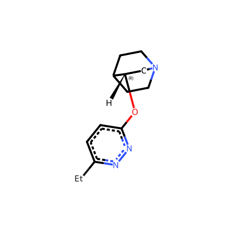 CCc1ccc(O[C@H]2CN3CCC2CC3)nn1